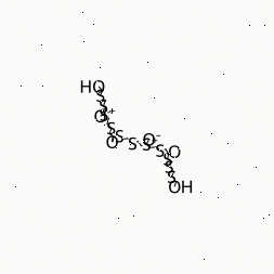 O=C(CSCC[S+]([O-])CSCSCO)SCCSCC[S+]([O-])CCSCC(=O)SCSCSCO